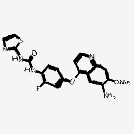 COc1cc2nccc(Oc3ccc(NC(=O)Nc4nccs4)c(F)c3)c2cc1N